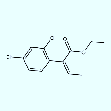 CC=C(C(=O)OCC)c1ccc(Cl)cc1Cl